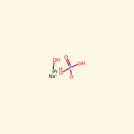 CC(C)O.O=P([O-])(O)O.[Na+]